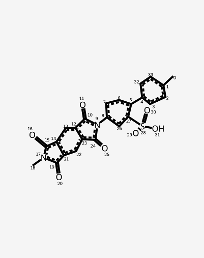 Cc1ccc(-c2ccc(-n3c(=O)c4cc5c(=O)n(C)c(=O)c5cc4c3=O)cc2S(=O)(=O)O)cc1